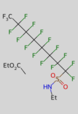 CCNS(=O)(=O)C(F)(F)C(F)(F)C(F)(F)C(F)(F)C(F)(F)C(F)(F)C(F)(F)C(F)(F)F.CCOC(C)=O